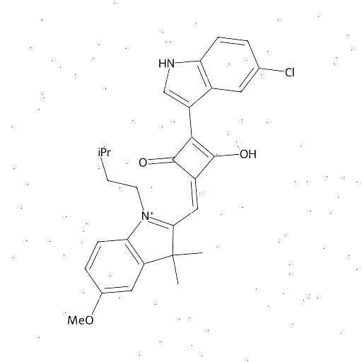 COc1ccc2c(c1)C(C)(C)C(/C=C1\C(=O)C(c3c[nH]c4ccc(Cl)cc34)=C1O)=[N+]2CCC(C)C